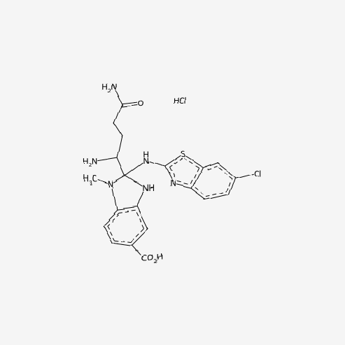 CN1c2ccc(C(=O)O)cc2NC1(Nc1nc2ccc(Cl)cc2s1)C(N)CCC(N)=O.Cl